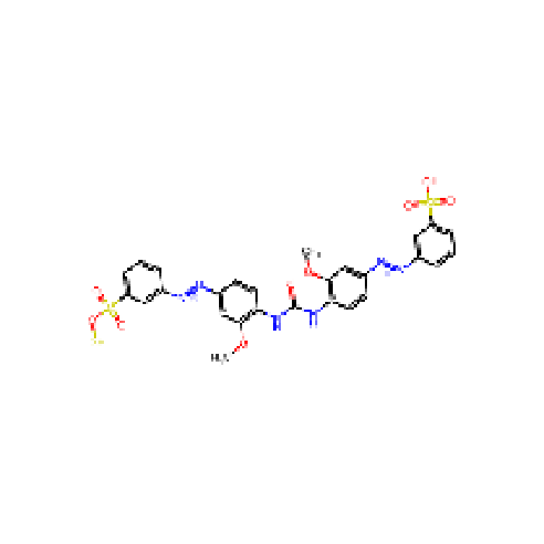 COc1cc(/N=N/c2cccc(S(=O)(=O)O)c2)ccc1NC(=O)Nc1ccc(/N=N/c2cccc(S(=O)(=O)OS)c2)cc1OC